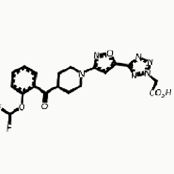 O=C(O)Cn1nnc(-c2cc(N3CCC(C(=O)c4ccccc4OC(F)F)CC3)no2)n1